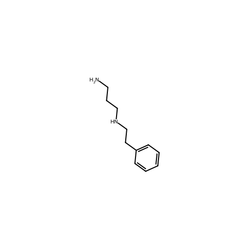 NCCCNCCc1ccccc1